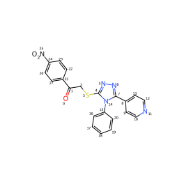 O=C(CSc1nnc(-c2ccncc2)n1-c1ccccc1)c1ccc([N+](=O)[O-])cc1